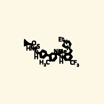 CCN1CCN(Cc2cc(NC(=O)C3(NC)C=CC(C)=C(c4ccc(NC(=S)NC(=O)C5CC5)cc4)C3)cc(C(F)(F)F)c2)CC1